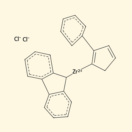 C1=CC(c2ccccc2)=[C]([Zr+2][CH]2c3ccccc3-c3ccccc32)C1.[Cl-].[Cl-]